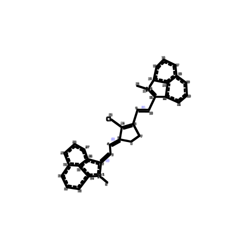 Cn1/c(=C/C=C2\CCC(/C=C/C3=[N+](C)c4cccc5cccc3c45)=C2Cl)c2cccc3cccc1c32